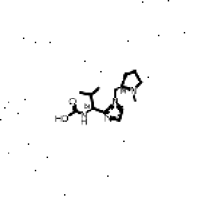 CC(C)[C@H](NC(=O)O)c1nccn1C[C@H]1CCCN1C